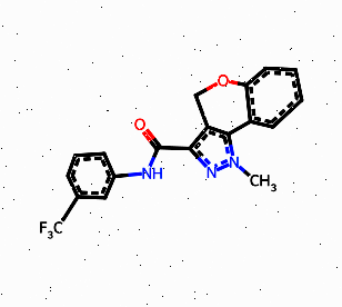 Cn1nc(C(=O)Nc2cccc(C(F)(F)F)c2)c2c1-c1ccccc1OC2